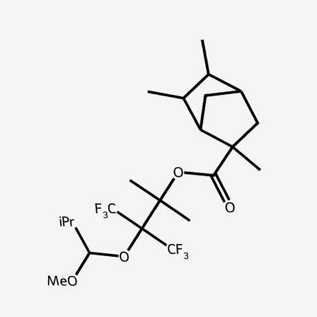 COC(OC(C(F)(F)F)(C(F)(F)F)C(C)(C)OC(=O)C1(C)CC2CC1C(C)C2C)C(C)C